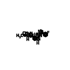 CC(C)CC(O)Nc1cncc(-c2ccc3[nH]nc(-c4nc5c(-c6cccc(F)c6)ccnc5[nH]4)c3c2)c1